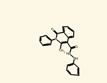 Cc1c(C(=O)NNc2ccccc2)c2ccccc2c(=O)n1-c1ccccc1